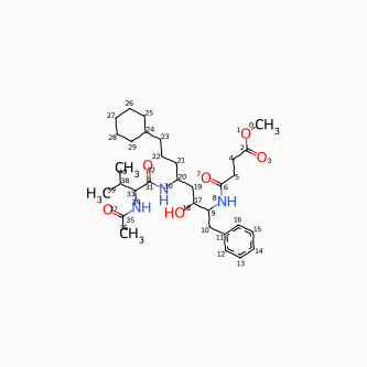 COC(=O)CCC(=O)NC(Cc1ccccc1)[C@@H](O)CC(CCCC1CCCCC1)NC(=O)[C@@H](NC(C)=O)C(C)C